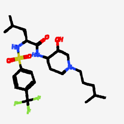 CC(C)CCCN1CCC(NC(=O)[C@H](CC(C)C)NS(=O)(=O)c2ccc(C(F)(F)F)cc2)C(O)C1